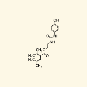 CC(C)=CC(C(=O)OCCNC(=O)Nc1ccc(O)cc1)=C(C)C